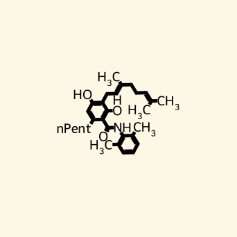 CCCCCc1cc(O)c(C/C=C(\C)CCC=C(C)C)c(O)c1C(=O)Nc1c(C)cccc1C